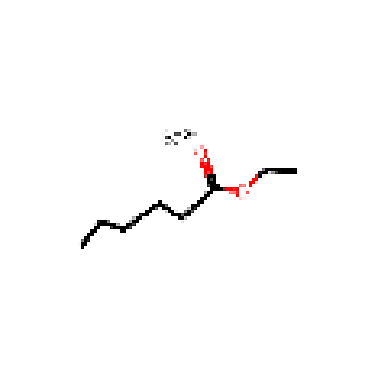 CCCCCC(=O)OCC.[Ba+2]